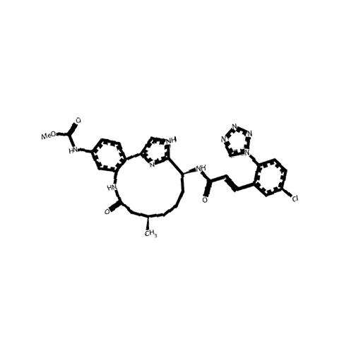 COC(=O)Nc1ccc2c(c1)NC(=O)C[C@H](C)CCC[C@H](NC(=O)/C=C/c1cc(Cl)ccc1-n1cnnn1)c1nc-2c[nH]1